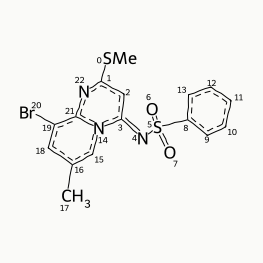 CSc1cc(=NS(=O)(=O)c2ccccc2)n2cc(C)cc(Br)c2n1